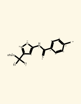 CCCCCC(CC)(CC)c1cc(NC(=S)c2ccc(I)cc2)on1